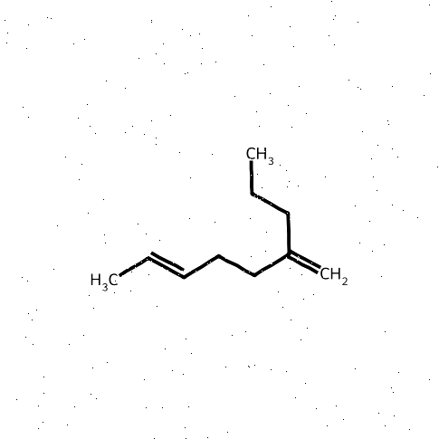 C=C(CCC)CCC=CC